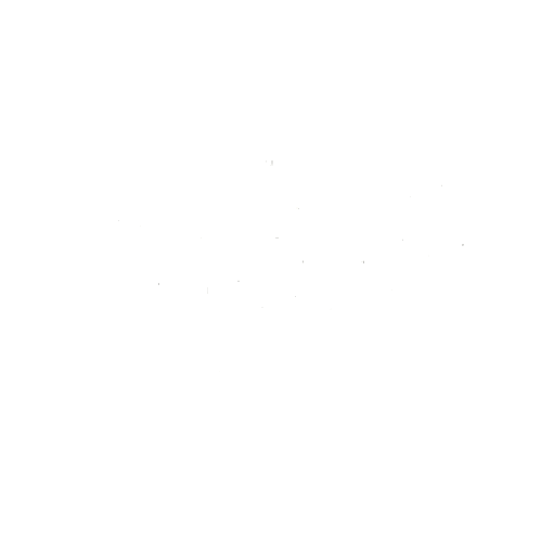 NCCCCCCN.c1ccc(B(c2ccccc2)c2ccccc2)cc1.c1ccc(B(c2ccccc2)c2ccccc2)cc1